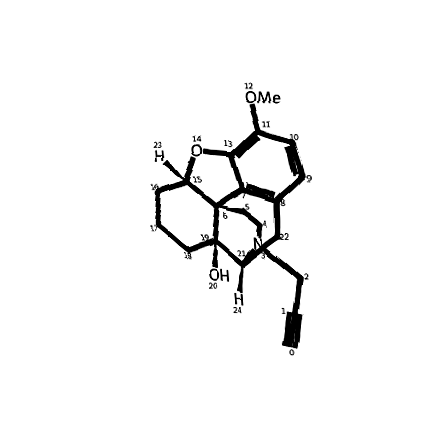 C#CCN1CC[C@]23c4c5ccc(OC)c4O[C@H]2CCC[C@@]3(O)[C@H]1C5